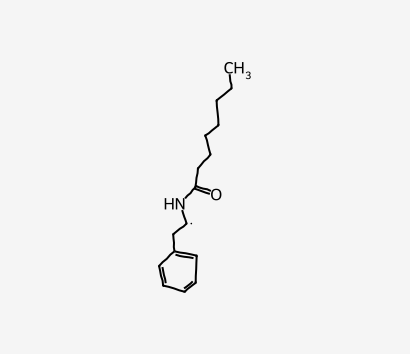 CCCCCCCC(=O)N[CH]Cc1ccccc1